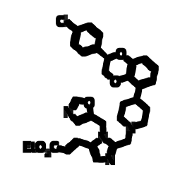 CCOC(=O)/C=C/c1cnc(CN2CCC(c3cccc4c3OC[C@@H](c3ccc(Cl)cc3)O4)CC2)n1Cc1cnco1